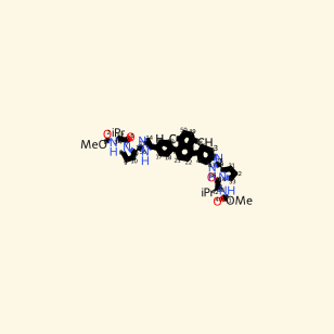 COC(=O)N[C@H](C(=O)N1CCC[C@H]1c1ncc(-c2ccc(-c3ccc(-c4ccc5nc([C@@H]6CCCN6C(=O)[C@@H](NC(=O)OC)C(C)C)[nH]c5c4)c4c(C)ccc(C)c34)cc2)[nH]1)C(C)C